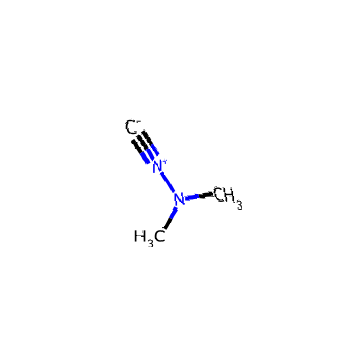 [C-]#[N+]N(C)C